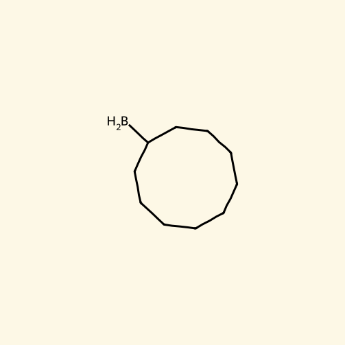 BC1CCCCCCCCC1